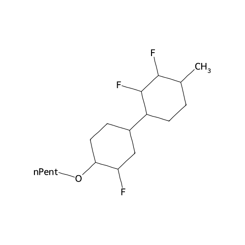 CCCCCOC1CCC(C2CCC(C)C(F)C2F)CC1F